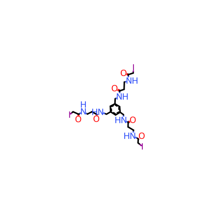 O=C(CI)NCCC(=O)NCc1cc(CNC(=O)CCNC(=O)CI)cc(CNC(=O)CCNC(=O)CI)c1